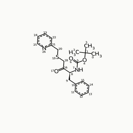 CC(C)(C)OC(=O)N[C@@H](Cc1ccccc1)C(=O)CSCc1ccccn1